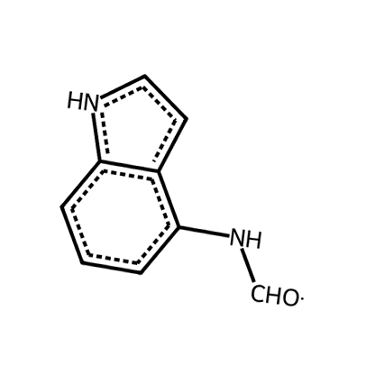 O=[C]Nc1cccc2[nH]ccc12